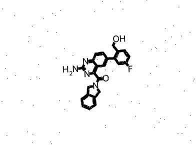 Nc1nc(C(=O)N2Cc3ccccc3C2)c2cc(-c3cc(F)ccc3CO)ccc2n1